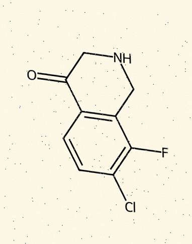 O=C1CNCc2c1ccc(Cl)c2F